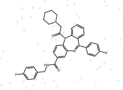 O=C(NCc1ccc(F)cc1)c1ccc2c(c1)N=C(c1ccc(F)cc1)c1ccccc1N2C(=O)CN1CCCCC1